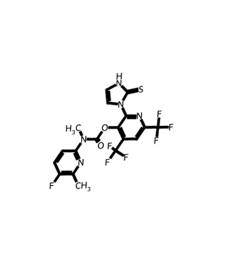 Cc1nc(N(C)C(=O)Oc2c(C(F)(F)F)cc(C(F)(F)F)nc2-n2cc[nH]c2=S)ccc1F